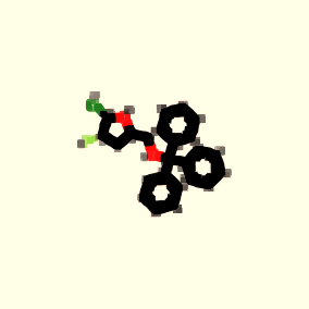 F[C@H]1CC(COC(c2ccccc2)(c2ccccc2)c2ccccc2)O[C@@H]1Cl